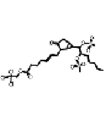 CCCCCC(OS(C)(=O)=O)C(OS(C)(=O)=O)C1C2CC(=O)C(CC=CCCCC(=O)OCC(Cl)(Cl)Cl)C21